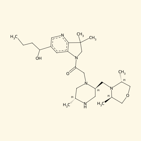 CCCC(O)c1cnc2c(c1)N(C(=O)CN1C[C@@H](C)NC[C@@H]1CN1[C@H](C)COC[C@H]1C)CC2(C)C